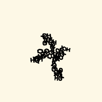 CC(O)CN(CC(C)O)C(=O)CCC(=O)OC(C)CN(CC(C)OC(=O)CCC(=O)N(CC(C)O)CC(C)O)C(=O)C1CCCCC1C(=O)N(CC(C)OC(=O)CCC(=O)N(CC(C)O)CC(C)O)CC(C)OC(=O)C1CCCCC1C(=O)N(CC(C)O)CC(C)O